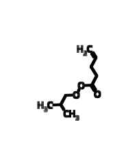 C=CCCC(=O)OOCC(C)C